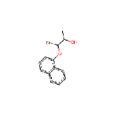 CC(O)C(Br)Oc1cccc2ccccc12